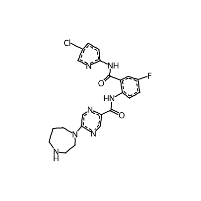 O=C(Nc1ccc(F)cc1C(=O)Nc1ccc(Cl)cn1)c1cnc(N2CCCNCC2)cn1